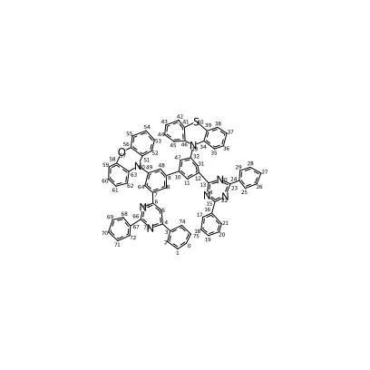 c1ccc(-c2cc(-c3cc(-c4cc(-c5nc(-c6ccccc6)nc(-c6ccccc6)n5)cc(N5c6ccccc6Sc6ccccc65)c4)cc(N4c5ccccc5Oc5ccccc54)c3)nc(-c3ccccc3)n2)cc1